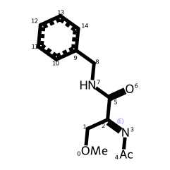 COC/C(=N\C(C)=O)C(=O)NCc1ccccc1